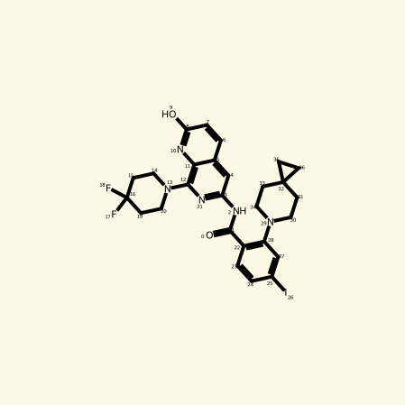 O=C(Nc1cc2ccc(O)nc2c(N2CCC(F)(F)CC2)n1)c1ccc(I)cc1N1CCC2(CC1)CC2